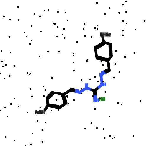 CC(=O)Nc1ccc(C=NNC(=N)NN=Cc2ccc(NC(C)=O)cc2)cc1.Cl